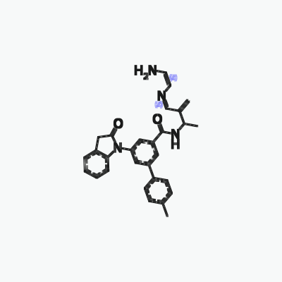 C=C(/C=N\C=C/N)C(C)NC(=O)c1cc(-c2ccc(C)cc2)cc(N2C(=O)Cc3ccccc32)c1